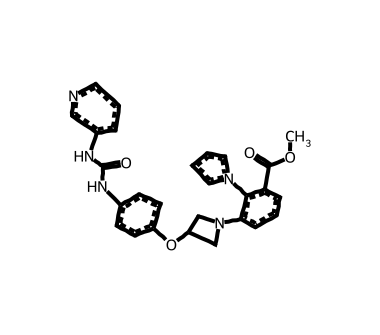 COC(=O)c1cccc(N2CC(Oc3ccc(NC(=O)Nc4cccnc4)cc3)C2)c1-n1cccc1